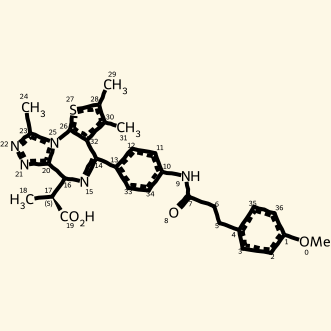 COc1ccc(CCC(=O)Nc2ccc(C3=NC([C@H](C)C(=O)O)c4nnc(C)n4-c4sc(C)c(C)c43)cc2)cc1